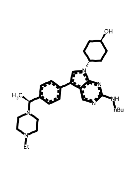 CCCCNc1ncc2c(-c3ccc([C@H](C)N4CCN(CC)CC4)cc3)cn([C@H]3CC[C@H](O)CC3)c2n1